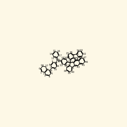 C1=Cc2cccc(-c3ccc(N(c4ccccc4)c4ccc(C5(c6cccc7c6oc6ccccc67)c6ccccc6-c6cc7ccccc7cc65)cc4)cc3)c2CC1